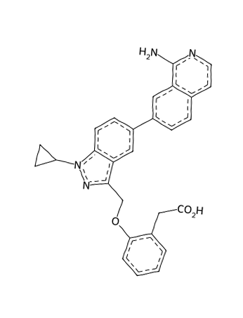 Nc1nccc2ccc(-c3ccc4c(c3)c(COc3ccccc3CC(=O)O)nn4C3CC3)cc12